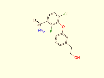 CC[C@H](N)c1ccc(Cl)c(Oc2cccc(CCO)c2)c1F